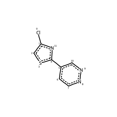 Clc1csc(-c2ccnnc2)n1